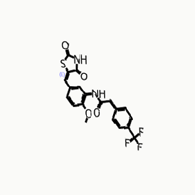 COc1ccc(/C=C2/SC(=O)NC2=O)cc1NC(=O)Cc1ccc(C(F)(F)F)cc1